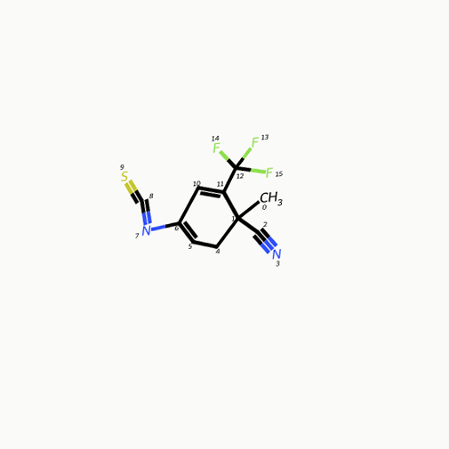 CC1(C#N)CC=C(N=C=S)C=C1C(F)(F)F